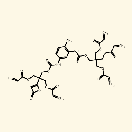 C=CC(=O)OCC(COC(=O)C=C)(COC(=O)C=C)COC(=O)Nc1cc(NC(=O)OCC(COC(=O)C=C)(COC(=O)C=C)C2=CC(=O)O2)ccc1C